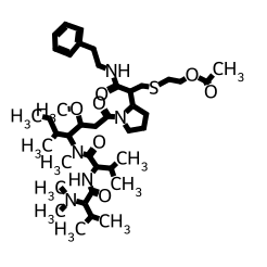 CCC(C)C(C(CC(=O)N1CCCC1C(CSCCOC(C)=O)C(=O)NCCc1ccccc1)OC)N(C)C(=O)C(NC(=O)C(C(C)C)N(C)C)C(C)C